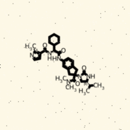 CC(C)[C@@H]1CN(C2(C(=O)N(C)C)Cc3ccc(NC(=O)[C@@H](NC(=O)c4ccnn4C)C4CCCCC4)cc3C2)C(=O)N1